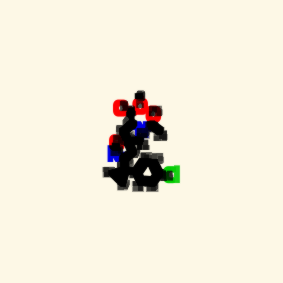 COC(=O)[C@@H]1CC2(CC(C3(c4ccc(Cl)cc4)CC3)=NO2)CN1C(C)=O